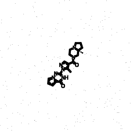 Cc1c(C(=O)N2CCN3CCC[C@@]3(C)C2)cnn1-c1nn2cccc2c(=O)[nH]1